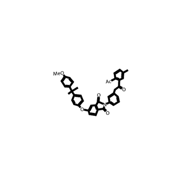 COc1ccc(C(C)(C)c2ccc(Oc3ccc4c(c3)C(=O)N(c3cccc(CC(=O)c5cc(C)ccc5C(C)=O)c3)C4=O)cc2)cc1